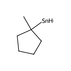 C[C]1([SnH])CCCC1